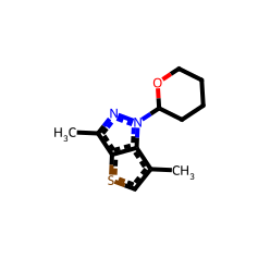 Cc1nn(C2CCCCO2)c2c(C)csc12